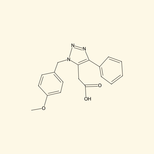 COc1ccc(Cn2nnc(-c3ccccc3)c2CC(=O)O)cc1